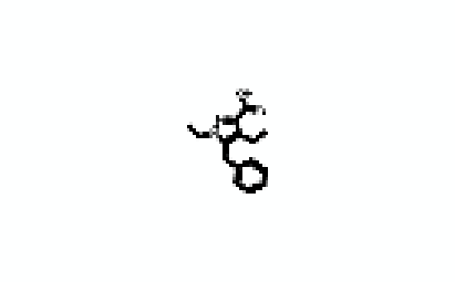 CCc1c(C(=O)O)nn(CC)c1Cc1ccccc1